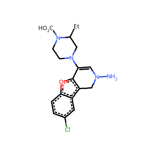 CCC1CN(C2=CN(N)Cc3c2oc2ccc(Cl)cc32)CCN1C(=O)O